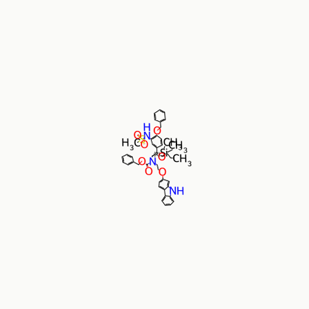 CC[Si](CC)(CC)O[C@@H](CN(CCOc1ccc2c(c1)[nH]c1ccccc12)C(=O)OCc1ccccc1)c1ccc(OCc2ccccc2)c(NS(C)(=O)=O)c1